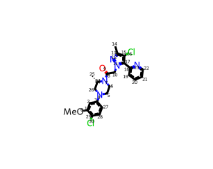 COc1cc(N2CCN(C(=O)Cn3nc(C)c(Cl)c3-c3ccccn3)[C@@H](C)C2)ccc1Cl